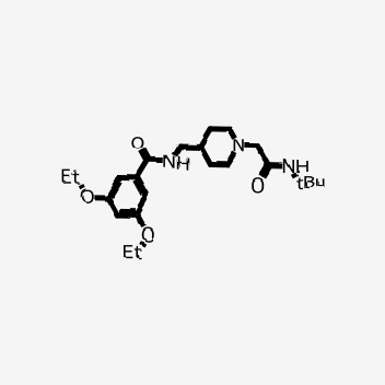 CCOc1cc(OCC)cc(C(=O)NCC2CCN(CC(=O)NC(C)(C)C)CC2)c1